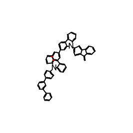 C=C1c2ccccc2-c2cc(-n3c4ccccc4c4ccc(-c5cccc(-c6ccccc6N(c6ccccc6)c6ccc(-c7cccc(-c8ccccc8)c7)cc6)c5)cc43)ccc21